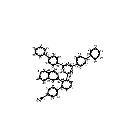 N#Cc1ccc(-c2cccc(-c3nc(-c4ccc(-c5ccccc5)cc4)nc(-c4ccc(-c5ccccc5)cc4)n3)c2-c2ccc3ccccc3c2)cc1